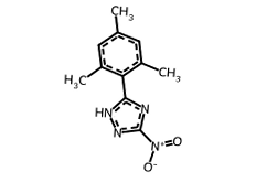 Cc1cc(C)c(-c2nc([N+](=O)[O-])n[nH]2)c(C)c1